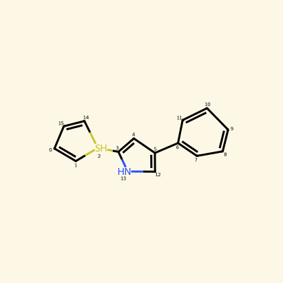 C1=C[SH](c2cc(-c3ccccc3)c[nH]2)C=C1